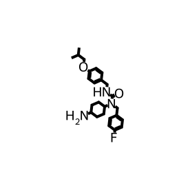 CC(C)COc1ccc(CNC(=O)N(Cc2ccc(F)cc2)C2CCC(N)CC2)cc1